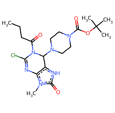 CCCC(=O)N1C(Cl)=Nc2c([nH]c(=O)n2C)C1N1CCN(C(=O)OC(C)(C)C)CC1